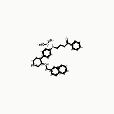 CC(C)(C)OC=O.O=C(CCCOc1ccc(C2CCNCC2OCc2ccc3ccccc3c2)cc1)c1ccccc1